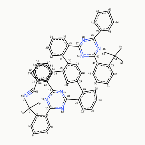 CC(C)(C)c1ccccc1-c1nc(-c2ccccc2)nc(-c2ccccc2-c2ccc(-c3ccccc3-c3nc(-c4ccccc4)nc(-c4ccccc4C(C)(C)C)n3)c(-c3cccc(C#N)c3)c2)n1